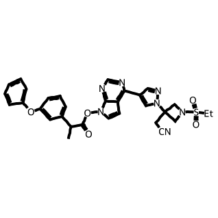 CCS(=O)(=O)N1CC(CC#N)(n2cc(-c3ncnc4c3ccn4OC(=O)C(C)c3cccc(Oc4ccccc4)c3)cn2)C1